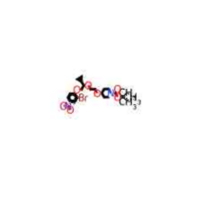 CC(C)(C)OC(=O)N1CCC(OCCOC(COc2ccc([N+](=O)[O-])cc2Br)C2CC2)CC1